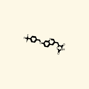 O=C1NC(=O)C(Cc2cnc3cc(OCc4ccc(C(F)(F)F)cc4)ccc3c2)S1